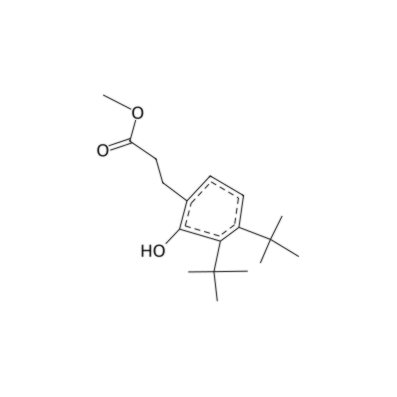 COC(=O)CCc1ccc(C(C)(C)C)c(C(C)(C)C)c1O